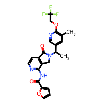 Cc1cc(C(C)N2Cc3c(ccnc3NC(=O)c3ccco3)C2=O)cnc1OCC(F)(F)F